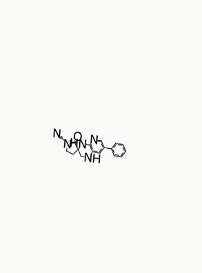 N#CN1CCC2(CNc3cc(-c4ccccc4)cnc3N2)C1=O